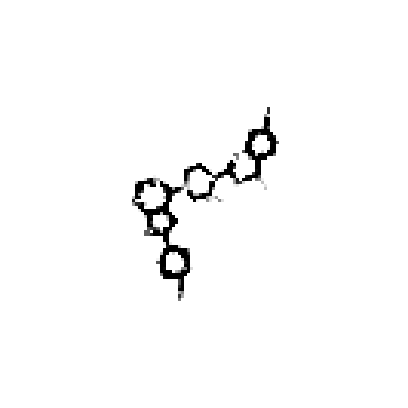 C[C@H](NC(=O)N1CCN(c2ncnc3[nH]c(-c4ccc(F)cc4)cc23)C[C@H]1C)c1ccc(F)cc1